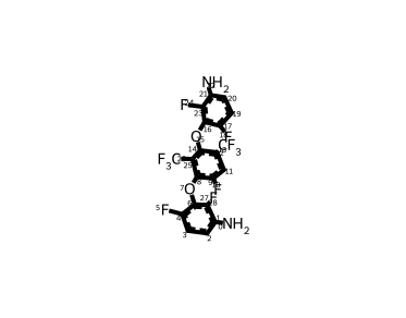 Nc1ccc(F)c(Oc2c(F)cc(C(F)(F)F)c(Oc3c(F)ccc(N)c3F)c2C(F)(F)F)c1F